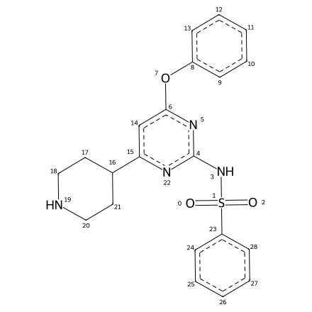 O=S(=O)(Nc1nc(Oc2ccccc2)cc(C2CCNCC2)n1)c1ccccc1